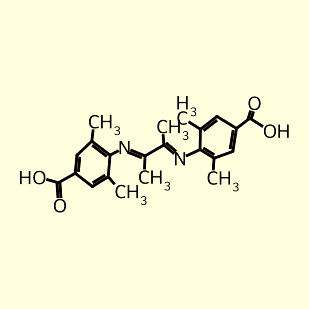 CC(=N\c1c(C)cc(C(=O)O)cc1C)/C(C)=N/c1c(C)cc(C(=O)O)cc1C